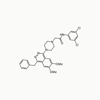 COc1cc2c(Cc3ccccc3)nnc(N3CCN(CC(=O)Nc4cc(Cl)cc(Cl)c4)CC3)c2cc1OC